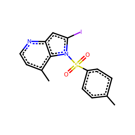 Cc1ccc(S(=O)(=O)n2c(I)cc3nccc(C)c32)cc1